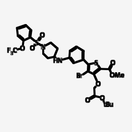 COC(=O)c1sc(-c2cccc(NC3CCN(S(=O)(=O)c4ccccc4OC(F)(F)F)CC3)c2)c(Br)c1OCC(=O)OC(C)(C)C